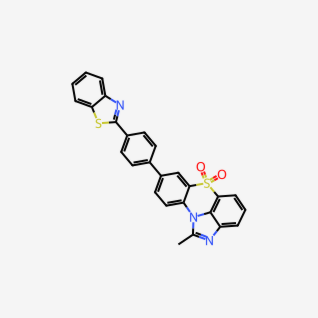 Cc1nc2cccc3c2n1-c1ccc(-c2ccc(-c4nc5ccccc5s4)cc2)cc1S3(=O)=O